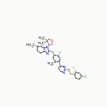 Cc1cc(Cc2nc3ccc(C(=O)O)cc3n2C2COCC2(C)C)c(F)cc1-c1ccnc(OCc2ccc(Cl)cc2F)n1